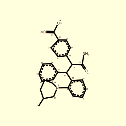 CC1CCCN(c2ccccc2C(c2ccccc2)C(C(N)=O)c2ccc(C(=O)O)cc2)C1